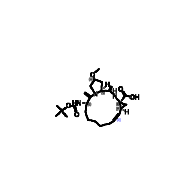 C=C1N[C@]2(C(=O)O)C[C@H]2/C=C\CCCCC[C@H](NC(=O)OC(C)(C)C)C(=C)N2C[C@H](OC)C[C@@H]12